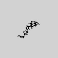 CC(C)c1c(F)c(Cl)c(-c2ccc3nc(NC(=O)C4CC4F)cn3c2)c2cn[nH]c12